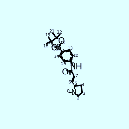 CN1CCC[C@@H]1/C=C/C(=O)Nc1ccc(B2OC(C)(C)C(C)(C)O2)cc1